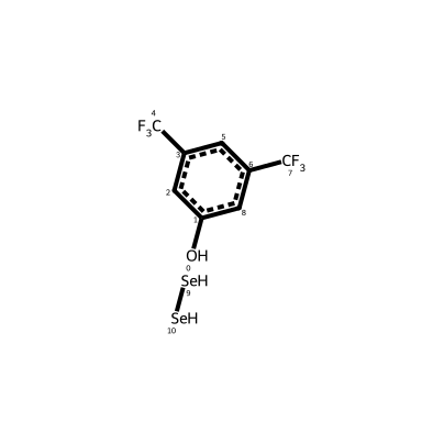 Oc1cc(C(F)(F)F)cc(C(F)(F)F)c1.[SeH][SeH]